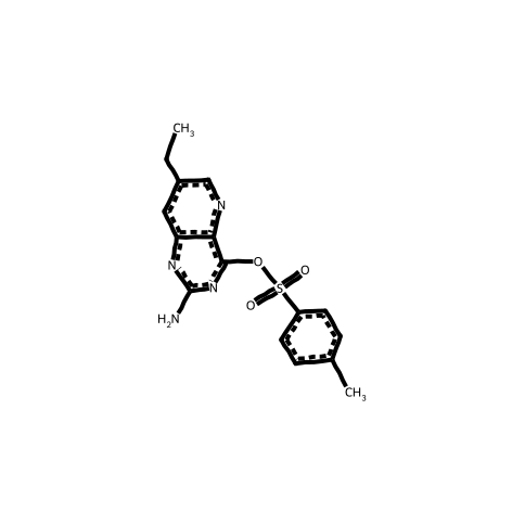 CCc1cnc2c(OS(=O)(=O)c3ccc(C)cc3)nc(N)nc2c1